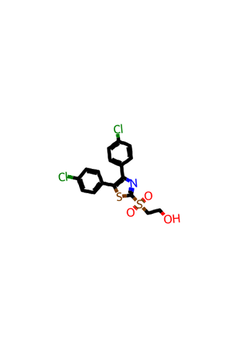 O=S(=O)(CCO)c1nc(-c2ccc(Cl)cc2)c(-c2ccc(Cl)cc2)s1